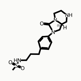 CS(=O)(=O)NCCCc1ccc(N2C[C@@H]3CNCCN3C2=O)cc1